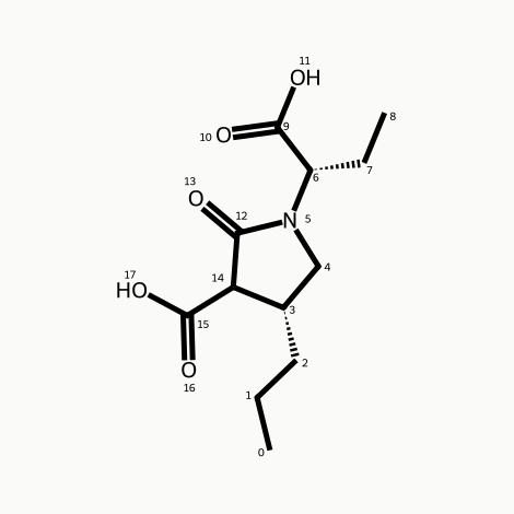 CCC[C@H]1CN([C@@H](CC)C(=O)O)C(=O)C1C(=O)O